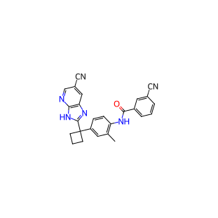 Cc1cc(C2(c3nc4cc(C#N)cnc4[nH]3)CCC2)ccc1NC(=O)c1cccc(C#N)c1